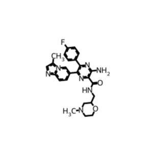 Cc1cnc2ccc(-c3nc(C(=O)NCC4CN(C)CCO4)c(N)nc3-c3ccc(F)cc3)cn12